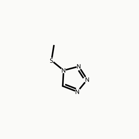 CSn1cnnn1